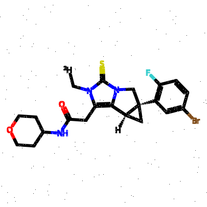 [2H]Cn1c(CC(=O)NC2CCOCC2)c2n(c1=S)C[C@@]1(c3cc(Br)ccc3F)C[C@@H]21